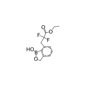 CCOC(=O)C(F)(F)Cc1cccc2c1B(O)OC2